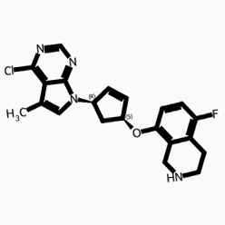 Cc1cn([C@H]2C=C[C@@H](Oc3ccc(F)c4c3CNCC4)C2)c2ncnc(Cl)c12